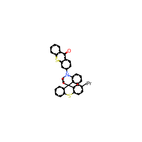 CC(C)c1ccc2c(c1)C1(c3ccccc3S2)c2ccccc2N(c2ccc3c(=O)c4ccccc4sc3c2)c2ccccc21